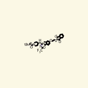 CC(C)(C)OC(=O)N1CCC(N/C(=N/C(=O)C(F)(F)F)N2Cc3ccc(OCCON4C(=O)c5ccccc5C4=O)cc3C2)CC1